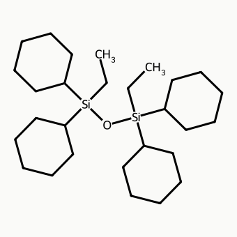 CC[Si](O[Si](CC)(C1CCCCC1)C1CCCCC1)(C1CCCCC1)C1CCCCC1